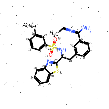 CC=[N+]=C(N)c1cccc(CC(NS(=O)(=O)c2cccc(NC(C)=O)c2)c2nc3ccccc3s2)c1